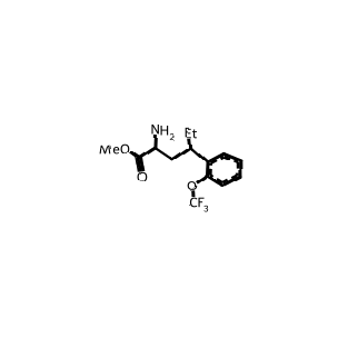 CCC(CC(N)C(=O)OC)c1ccccc1OC(F)(F)F